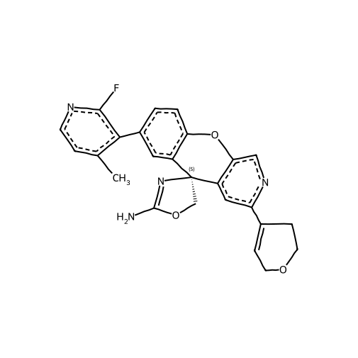 Cc1ccnc(F)c1-c1ccc2c(c1)[C@@]1(COC(N)=N1)c1cc(C3=CCOCC3)ncc1O2